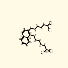 ClC(Cl)CCCCCc1ccc2ccccc2c1CCCCCC(Cl)Cl